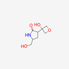 O=C1NC(CO)CC1C1(O)COC1